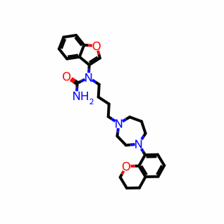 NC(=O)N(CCCCN1CCCN(c2cccc3c2OCCC3)CC1)c1coc2ccccc12